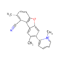 Cc1cc2c(cc1-c1cccc[n+]1C)oc1ccc(C)c(C#N)c12